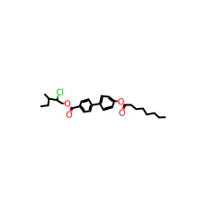 CCCCCCCC(=O)Oc1ccc(-c2ccc(C(=O)OCC(Cl)C(C)CC)cc2)cc1